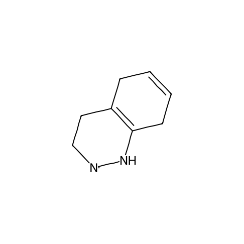 C1=CCC2=C(C1)CC[N]N2